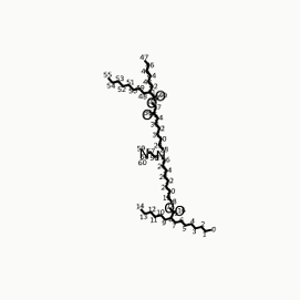 CCCCCCCCC(CCCCCC)C(=O)OCCCCCCCCCN(CCCCCCCC(=O)COC(=O)C(CCCCCC)CCCCCCCC)CCN(C)C